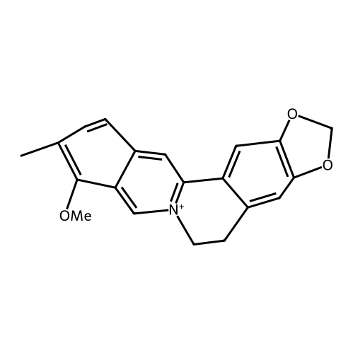 COc1c(C)ccc2cc3[n+](cc12)CCc1cc2c(cc1-3)OCO2